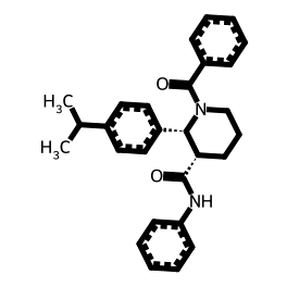 CC(C)c1ccc([C@H]2[C@@H](C(=O)Nc3ccccc3)CCCN2C(=O)c2ccccc2)cc1